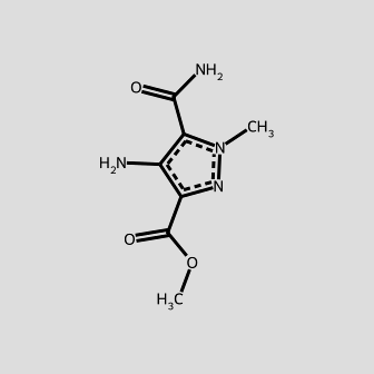 COC(=O)c1nn(C)c(C(N)=O)c1N